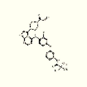 C=CC(=O)N1CCC(c2c[nH]c3ncnc(Nc4ccc(Oc5ccnc(NC(=O)C(C)(C)C)c5)cc4F)c23)CC1